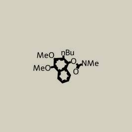 CCCCc1c(OC)c(OC)c2ccccc2c1OC(=O)NC